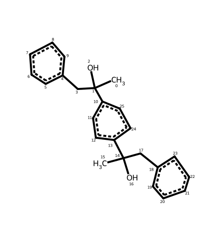 CC(O)(Cc1ccccc1)c1ccc(C(C)(O)Cc2ccccc2)cc1